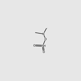 [CH2]N(C)O[SH](=O)=O